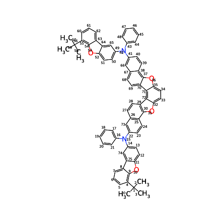 CC(C)(C)c1cccc2c1oc1ccc(N(c3ccccc3)c3ccc4c(ccc5c4oc4ccc6oc7c8ccc(N(c9ccccc9)c9ccc%10oc%11c(C(C)(C)C)cccc%11c%10c9)cc8ccc7c6c45)c3)cc12